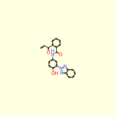 C=CC(=O)c1ccccc1C(=O)Nc1ccc(O)c(-n2nc3ccccc3n2)c1